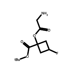 CC(C)(C)OC(=O)C1(OC(=O)CN)CC(F)C1